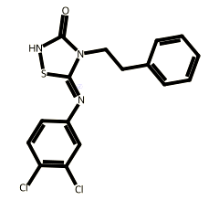 O=c1[nH]s/c(=N\c2ccc(Cl)c(Cl)c2)n1CCc1ccccc1